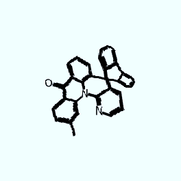 Cc1ccc2c(=O)c3cccc4c3n(c2c1)-c1ncccc1C41c2ccccc2-c2ccccc21